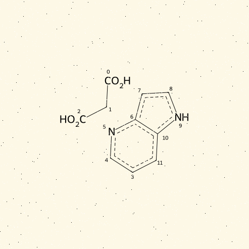 O=C(O)CC(=O)O.c1cnc2cc[nH]c2c1